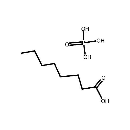 CCCCCCCC(=O)O.O=P(O)(O)O